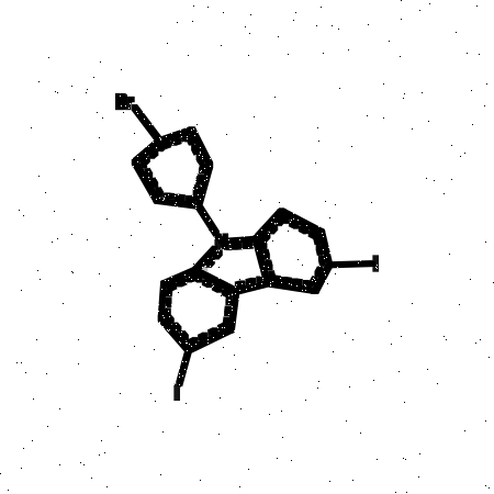 Brc1ccc(-n2c3ccc(I)cc3c3cc(I)ccc32)cc1